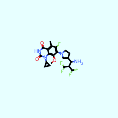 COc1c(N2CCC(C(N)C(C(F)F)C(F)F)C2)c(F)c(C)c2c(=O)[nH]c(=O)n(C3CC3)c12